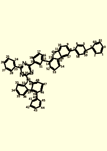 c1ccc(-c2ccc(-c3ccc4sc5c(-c6cccc(-c7nc(-c8ccccc8)nc(-n8c9ccccc9c9c(-c%10ccccc%10)cccc98)n7)c6)cccc5c4c3)cc2)cc1